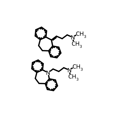 CN(C)CCC=C1c2ccccc2CCc2ccccc21.CN(C)CCCN1c2ccccc2CCc2ccccc21